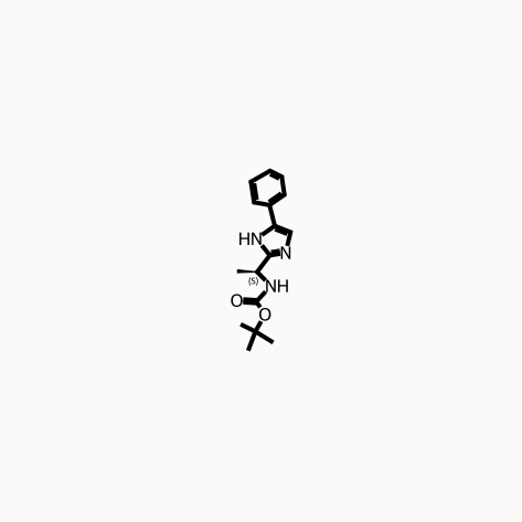 C[C@H](NC(=O)OC(C)(C)C)c1ncc(-c2ccccc2)[nH]1